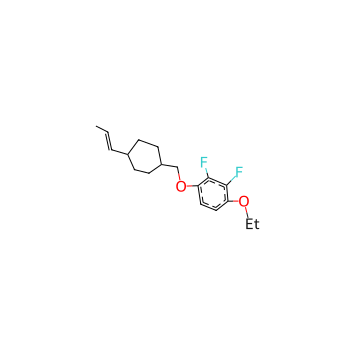 CC=CC1CCC(COc2ccc(OCC)c(F)c2F)CC1